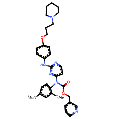 COc1ccc(N(C(=O)OCc2cccnc2)c2ccnc(Nc3ccc(OCCCN4CCCCC4)cc3)n2)c(OC)c1